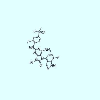 CC(C)n1c(=O)n(-c2ccc(F)c3[nH]ncc23)c2c(N)nc(Nc3ccc(S(C)(=O)=O)cc3F)nc21